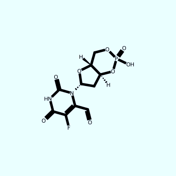 O=Cc1c(F)c(=O)[nH]c(=O)n1[C@H]1C[C@@H]2OP(=O)(O)OC[C@H]2O1